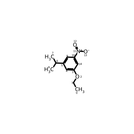 CCOc1cc([C](C)C)cc([N+](=O)[O-])c1